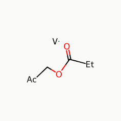 CCC(=O)OCC(C)=O.[V]